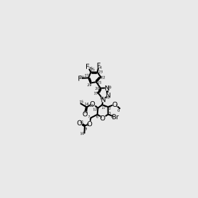 COC1C(Br)OC(COC(C)=O)C(OC(C)=O)C1n1cc(-c2cc(F)c(F)c(F)c2)nn1